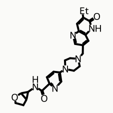 CCc1cc2ncc(CN3CCN(c4ccc(C(=O)NC5C6CCOC65)nc4)CC3)cc2[nH]c1=O